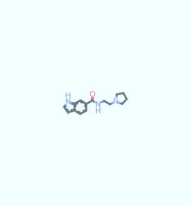 O=C(NCCN1CCCC1)c1ccc2[c]c[nH]c2c1